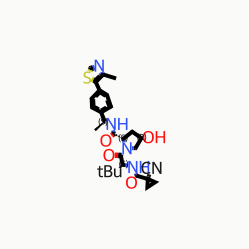 Cc1ncsc1-c1ccc([C@H](C)NC(=O)[C@@H]2C[C@@H](O)CN2C(=O)[C@@H](NC(=O)C2(C#N)CC2)C(C)(C)C)cc1